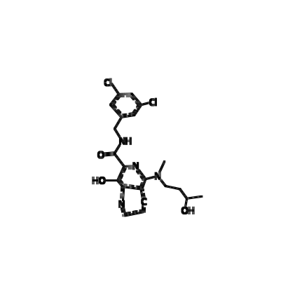 CC(O)CCN(C)c1nc(C(=O)NCc2cc(Cl)cc(Cl)c2)c(O)c2ncccc12